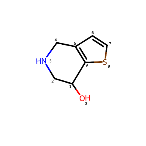 OC1CNCc2ccsc21